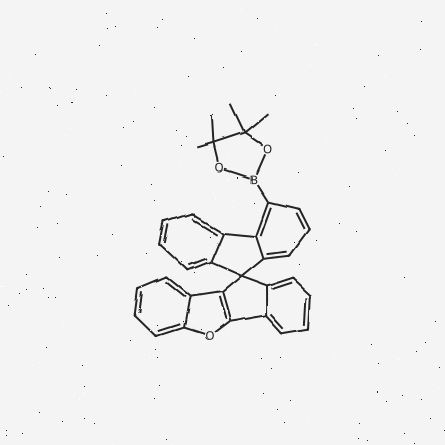 CC1(C)OB(c2cccc3c2-c2ccccc2C32c3ccccc3-c3oc4ccccc4c32)OC1(C)C